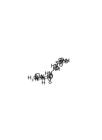 Cn1ncc(-c2nc(NC3CCC(N(CC(=O)NCCCCNCC(=O)NCc4scc5c4C(=O)N(C4CCC(=O)NC4=O)C5=O)C(=O)OCc4ccccc4)CC3)ncc2Cl)c1CC1CC1